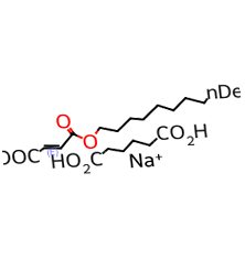 CCCCCCCCCCCCCCCCCCOC(=O)/C=C/C(=O)[O-].O=C(O)CCCCC(=O)O.[Na+]